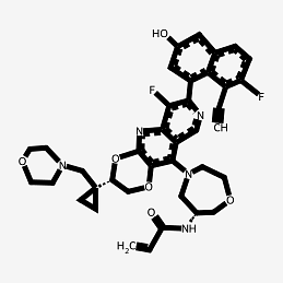 C#Cc1c(F)ccc2cc(O)cc(-c3ncc4c(N5CCOC[C@H](NC(=O)C=C)C5)c5c(nc4c3F)O[C@@H](C3(CN4CCOCC4)CC3)CO5)c12